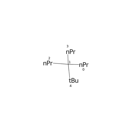 [CH2]CCC(CCC)(CCC)C(C)(C)C